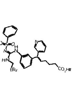 CC(C)(C)CNC(=NS(=O)(=O)c1ccccc1)Nc1cccc(C(=CCCCC(=O)O)c2cccnc2)c1